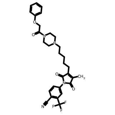 CC1=C(CCCCCN2CCN(C(=O)COc3ccccc3)CC2)C(=O)N(c2ccc(C#N)c(C(F)(F)F)c2)C1=O